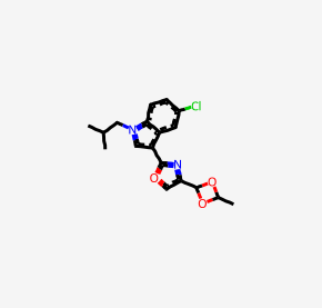 CC(C)Cn1cc(-c2nc(C3OC(C)O3)co2)c2cc(Cl)ccc21